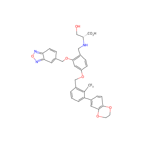 O=C(O)[C@@H](CO)NCc1ccc(OCc2cccc(-c3ccc4c(c3)OCCO4)c2C(F)(F)F)cc1OCc1ccc2nonc2c1